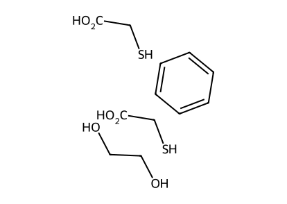 O=C(O)CS.O=C(O)CS.OCCO.c1ccccc1